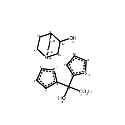 O=C(O)C(O)(c1cccs1)c1cccs1.OC1CN2CCC1CC2